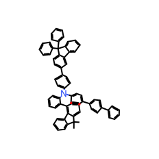 CC1(C)c2ccccc2-c2c(-c3ccccc3N(c3ccc(-c4ccc(-c5ccccc5)cc4)cc3)c3ccc(-c4ccc5c(c4)-c4ccccc4C5(c4ccccc4)c4ccccc4)cc3)cccc21